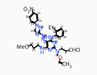 C=COCN(CCC=O)c1nc(NCCCOC)c(N=Nc2ncn(-c3ccc([N+](=O)[O-])cc3)n2)c(Nc2ccccc2CC)n1